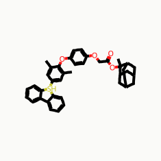 Cc1cc([SH]2c3ccccc3-c3ccccc32)cc(C)c1Oc1ccc(OCC(=O)OC2(C)C3CC4CC(C3)CC2C4)cc1